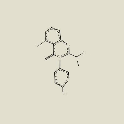 C[C@H](N)c1nc2cccc(Cl)c2c(=O)n1-c1ccc(N)nc1